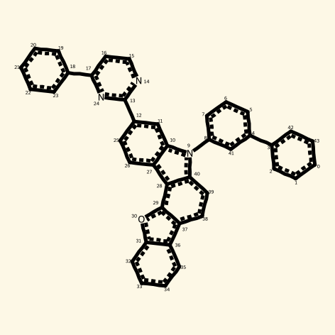 c1ccc(-c2cccc(-n3c4cc(-c5nccc(-c6ccccc6)n5)ccc4c4c5oc6ccccc6c5ccc43)c2)cc1